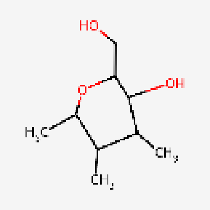 CC1OC(CO)C(O)C(C)C1C